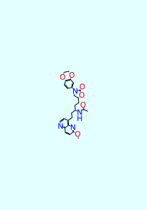 COc1ccc2nccc(CCC(CCC3CN(c4ccc5c(c4)OCCO5)C(=O)O3)NC(C)=O)c2n1